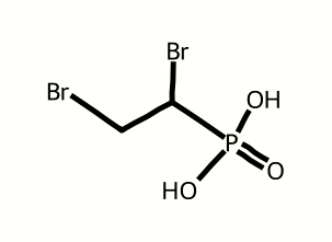 O=P(O)(O)C(Br)CBr